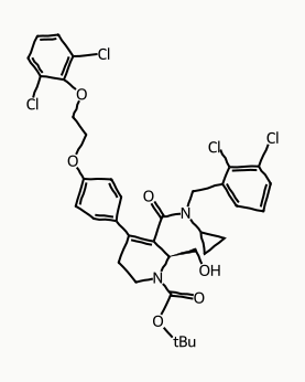 CC(C)(C)OC(=O)N1CCC(c2ccc(OCCOc3c(Cl)cccc3Cl)cc2)=C(C(=O)N(Cc2cccc(Cl)c2Cl)C2CC2)[C@H]1CO